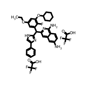 CCOc1cc(OC2CCCCC2)c(F)c(C(c2cc3cc(N)ccc3c(N)n2)c2nc(-c3ccccc3)c[nH]2)c1.O=C(O)C(F)(F)F.O=C(O)C(F)(F)F